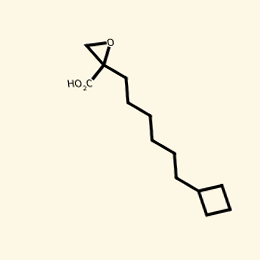 O=C(O)C1(CCCCCCC2CCC2)CO1